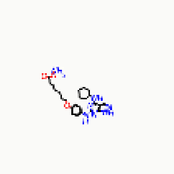 NOC(=O)CCCCCCOc1ccc(Nc2nc(NC3CCCCC3)c3cn[nH]c3n2)cc1